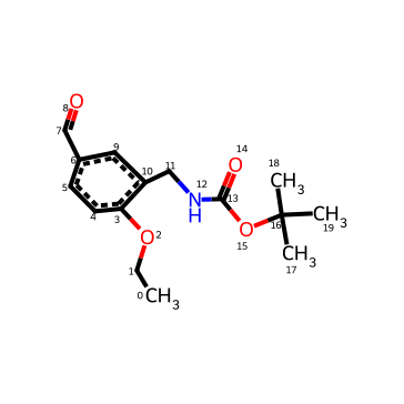 CCOc1ccc(C=O)cc1CNC(=O)OC(C)(C)C